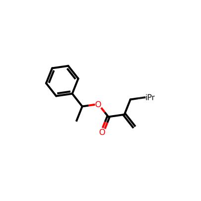 C=C(CC(C)C)C(=O)OC(C)c1ccccc1